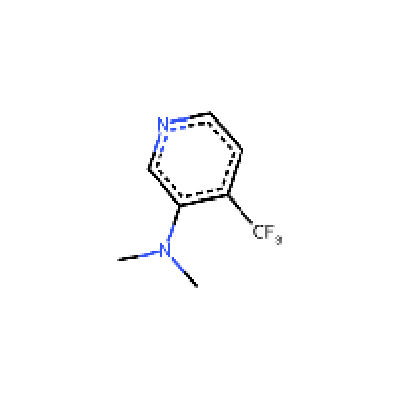 CN(C)c1cnccc1C(F)(F)F